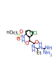 CCCCCCCCS(=O)(=O)Nc1ccccc1C(=O)C(=O)NC(CC)NC(=N)N.Cl